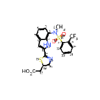 CN(c1cccc2cc(C3=NCC(CC(=O)O)S3)[nH]c12)S(=O)(=O)c1ccccc1C(F)(F)F